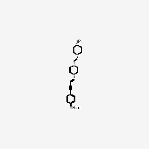 CCCCCc1ccc(C#CC=C[C@H]2CC[C@H](CC[C@H]3CC[C@H](CCC)CC3)CC2)cc1